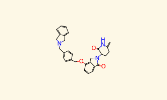 C=C1CCC(N2Cc3c(OCc4ccc(CN5Cc6ccccc6C5)cc4)cccc3C2=O)C(=O)N1